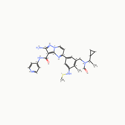 CSNc1cc(-c2ccn3nc(N)c(C(=O)Nc4ccncc4)c3n2)cc(CN(C=O)C(C)C2CC2)c1C